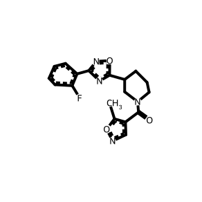 Cc1oncc1C(=O)N1CCCC(c2nc(-c3ccccc3F)no2)C1